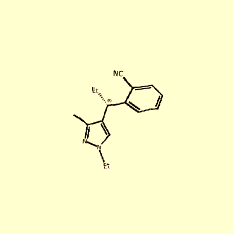 CC[C@H](c1ccccc1C#N)c1cn(CC)nc1C